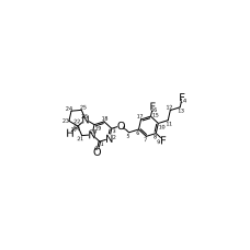 O=c1nc(OCc2cc(F)c(CCCF)c(F)c2)cc2n1C[C@H]1CCCN21